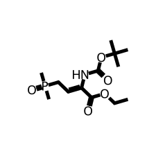 CCOC(=O)/C(=C/CP(C)(C)=O)NC(=O)OC(C)(C)C